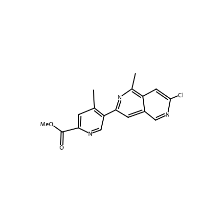 COC(=O)c1cc(C)c(-c2cc3cnc(Cl)cc3c(C)n2)cn1